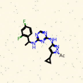 CC(=O)n1nc(Nc2ncnc(NC(C)c3ccc(F)cc3F)n2)cc1C1CC1